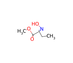 CCC(=NO)C(=O)OC